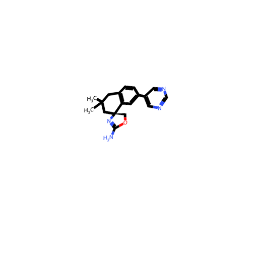 CC1(C)Cc2ccc(-c3cncnc3)cc2[C@@]2(COC(N)=N2)C1